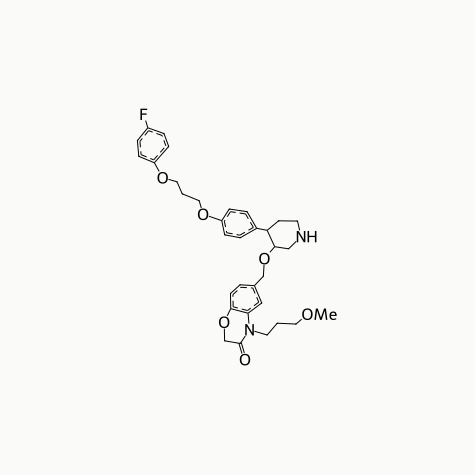 COCCCN1C(=O)COc2ccc(COC3CNCCC3c3ccc(OCCCOc4ccc(F)cc4)cc3)cc21